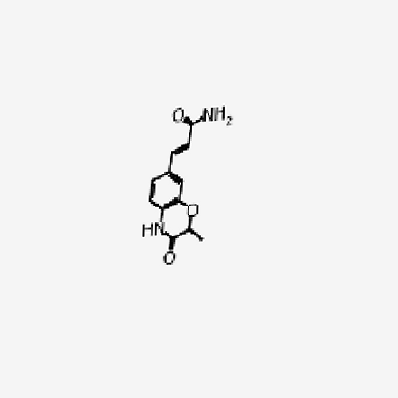 CC1Oc2cc(C=CC(N)=O)ccc2NC1=O